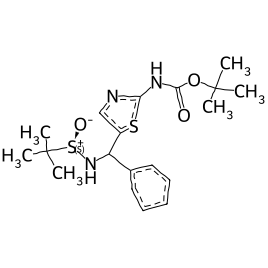 CC(C)(C)OC(=O)Nc1ncc(C(N[S@+]([O-])C(C)(C)C)c2ccccc2)s1